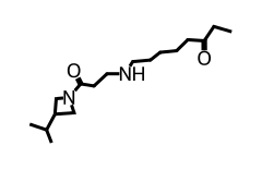 CCC(=O)CCCCCNCCC(=O)N1CC(C(C)C)C1